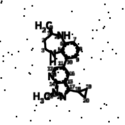 C=C1CCNc2c(cccc2-c2cnc3c(c2)c(C2CC2)nn3C)N1